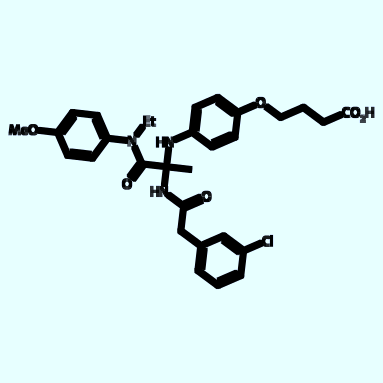 CCN(C(=O)C(C)(NC(=O)Cc1cccc(Cl)c1)Nc1ccc(OCCCC(=O)O)cc1)c1ccc(OC)cc1